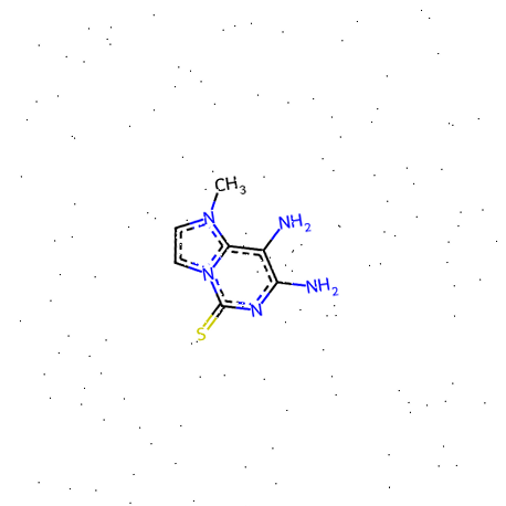 Cn1ccn2c(=S)nc(N)c(N)c12